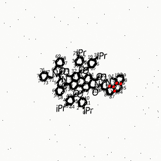 CC(C)c1ccc(Oc2cc3c4c(cc(Oc5ccc(C(C)C)cc5)c5c6c(Oc7ccc(C(C)C)cc7)cc7c8c(cc(Oc9ccc(C(C)C)cc9)c(c2c45)c86)C(=O)N(C(Cc2ccccc2)C(=O)N(Cc2ccccc2)Cc2ccccc2)C7=O)C(=O)N(C(Cc2ccccc2)C(=O)N(Cc2ccccc2)Cc2ccccc2)C3=O)cc1